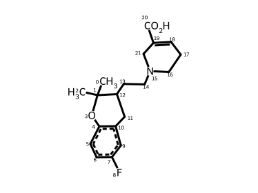 CC1(C)Oc2ccc(F)cc2CC1CCN1CCC=C(C(=O)O)C1